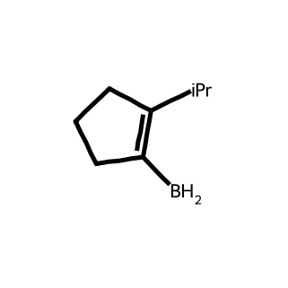 BC1=C(C(C)C)CCC1